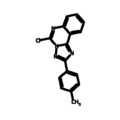 Cc1ccc(-c2nc3c4ccccc4nc(Cl)n3n2)cc1